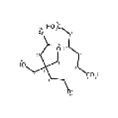 O=C(O)CCCCC(=O)O.OCC(CO)(CCBr)CCBr